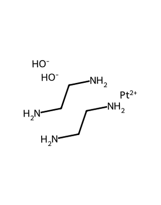 NCCN.NCCN.[OH-].[OH-].[Pt+2]